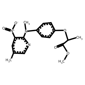 COC(=O)C(C)Oc1ccc(N(C)c2ncc(C)cc2[N+](=O)[O-])cc1